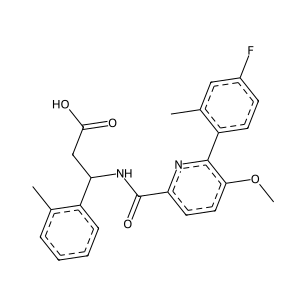 COc1ccc(C(=O)NC(CC(=O)O)c2ccccc2C)nc1-c1ccc(F)cc1C